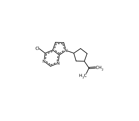 C=C(C)C1CCC(n2ccc3c(Cl)ncnc32)C1